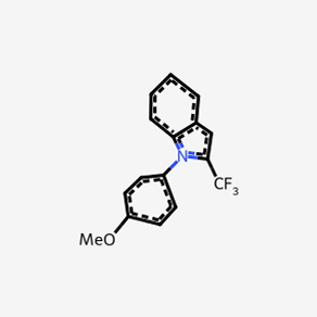 COc1ccc(-n2c(C(F)(F)F)cc3ccccc32)cc1